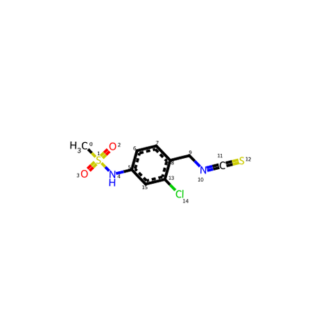 CS(=O)(=O)Nc1ccc(CN=C=S)c(Cl)c1